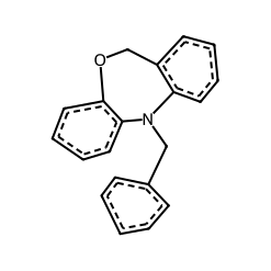 c1ccc(CN2c3ccccc3COc3ccccc32)cc1